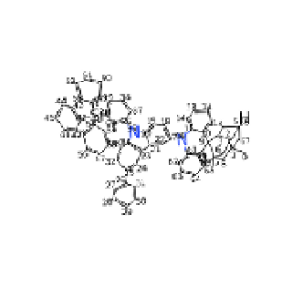 CC12CC3C[C@H](C[C@@H](C1)C31c3ccccc3N(c3ccc4c(c3)c3cc(-c5ccccc5)ccc3n4-c3cccc([Si](c4ccccc4)(c4ccccc4)c4ccccc4)c3)c3ccccc31)C2